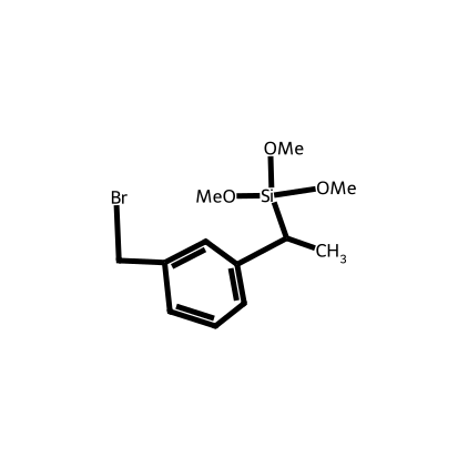 CO[Si](OC)(OC)C(C)c1cccc(CBr)c1